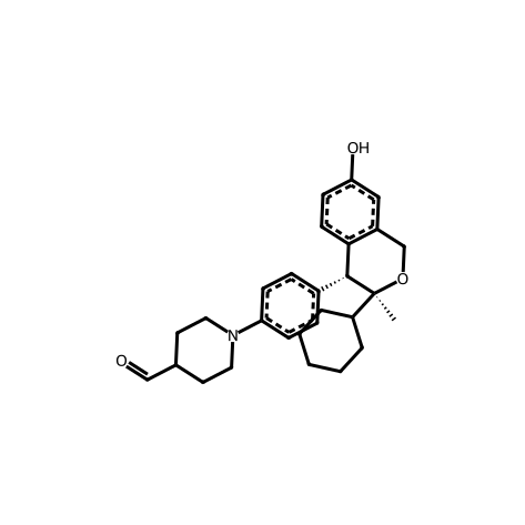 C[C@@]1(C2CCCCC2)OCc2cc(O)ccc2[C@H]1c1ccc(N2CCC(C=O)CC2)cc1